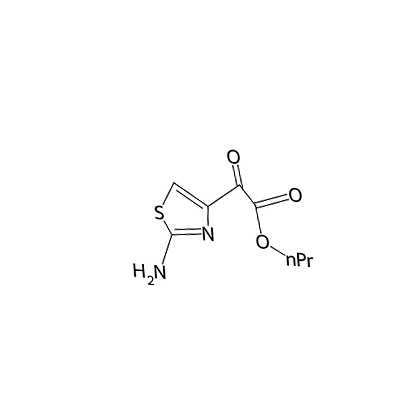 CCCOC(=O)C(=O)c1csc(N)n1